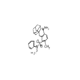 CCN(c1ccccc1)S(=O)(=O)c1c(C)ccc(C(N)=O)c1CC12CC3CC(CC(C3)C1)C2